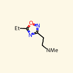 CCc1nc(CCNC)no1